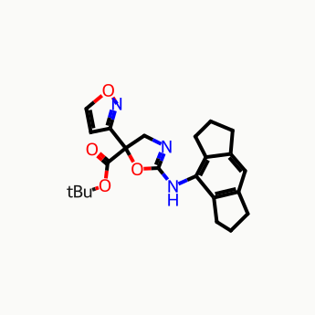 CC(C)(C)OC(=O)C1(c2ccon2)CN=C(Nc2c3c(cc4c2CCC4)CCC3)O1